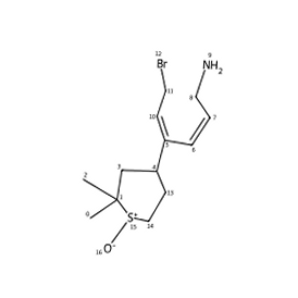 CC1(C)CC(C(/C=C\CN)=C/CBr)CC[S+]1[O-]